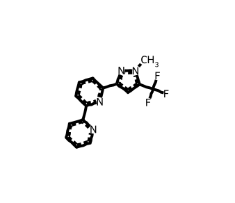 Cn1nc(-c2cccc(-c3ccccn3)n2)cc1C(F)(F)F